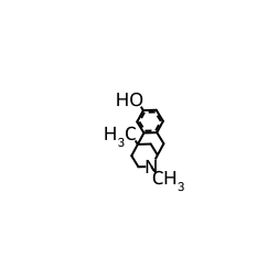 CN1CCC2(C)CC1Cc1ccc(O)cc12